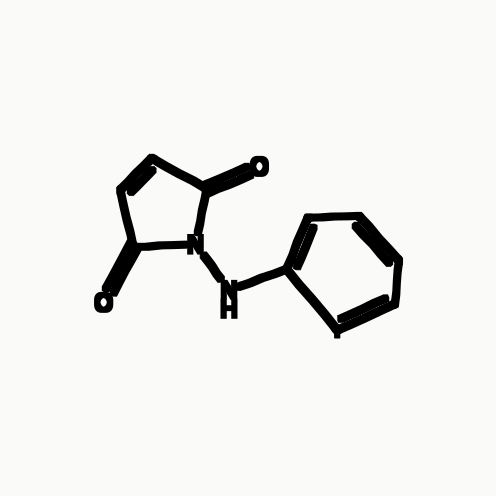 O=C1C=CC(=O)N1Nc1[c]cccc1